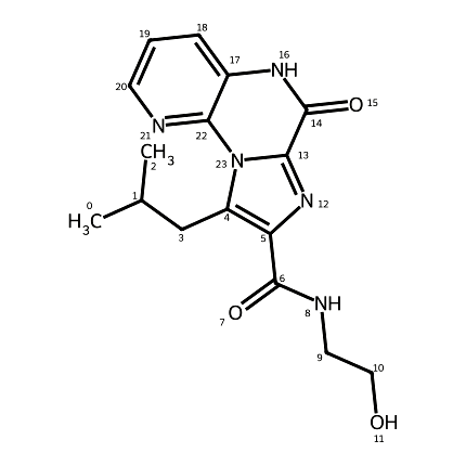 CC(C)Cc1c(C(=O)NCCO)nc2c(=O)[nH]c3cccnc3n12